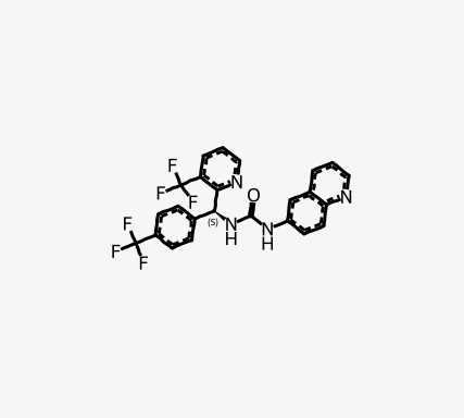 O=C(Nc1ccc2ncccc2c1)N[C@@H](c1ccc(C(F)(F)F)cc1)c1ncccc1C(F)(F)F